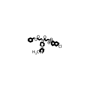 Cc1cc(N2CCC(N(CCC(=O)OCc3ccccc3)C(=O)CCS(=O)(=O)c3ccc4cc(Cl)ccc4c3)CC2)ccn1